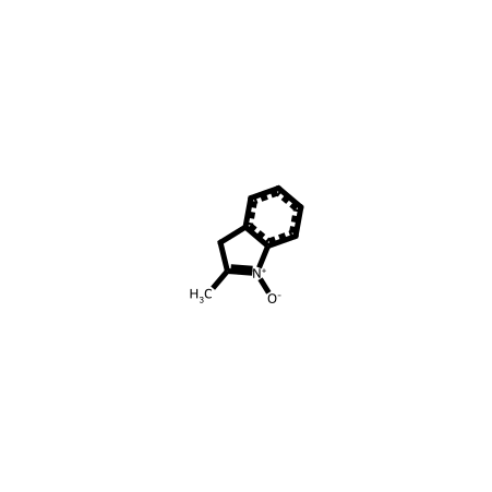 CC1=[N+]([O-])c2ccccc2C1